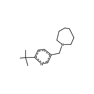 CC(C)(C)c1ccc(CN2CCCCCC2)cn1